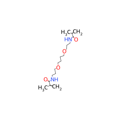 C=C(C)C(=O)NCCCOCCCCOCCCNC(=O)C(=C)C